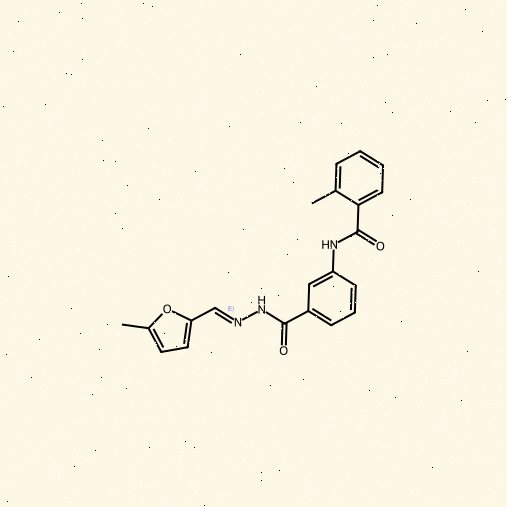 Cc1ccc(/C=N/NC(=O)c2cccc(NC(=O)c3ccccc3C)c2)o1